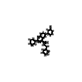 Fc1cccc(-c2ccc3nc(-c4cccnc4)nc(NCCc4ccccn4)c3c2)c1